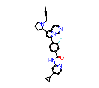 CC#CCN1CCCC1c1cc(-c2ccc(C(=O)Nc3cc(C4CC4)ccn3)cc2F)n2cnccc12